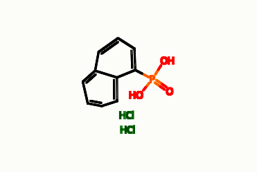 Cl.Cl.O=P(O)(O)c1cccc2ccccc12